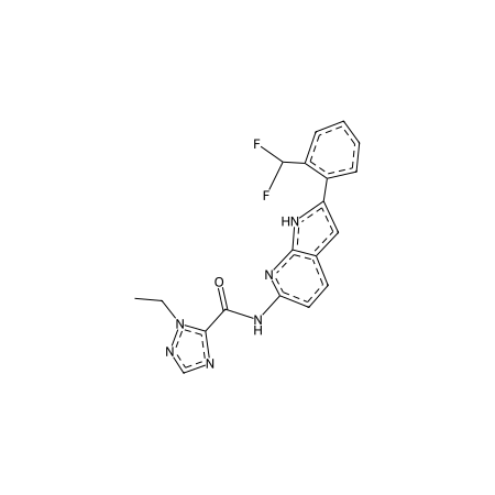 CCn1ncnc1C(=O)Nc1ccc2cc(-c3ccccc3C(F)F)[nH]c2n1